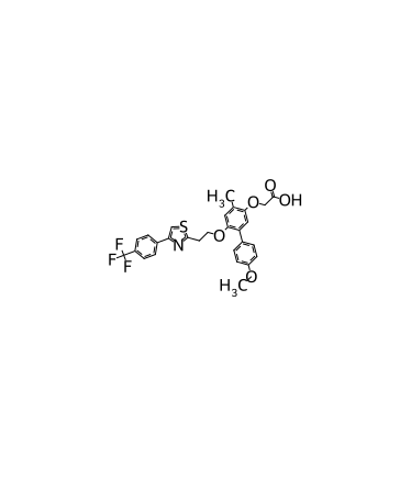 COc1ccc(-c2cc(OCC(=O)O)c(C)cc2OCCc2nc(-c3ccc(C(F)(F)F)cc3)cs2)cc1